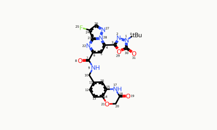 CC(C)(C)n1nc(-c2cc(C(=O)NCc3ccc4c(c3)NC(=O)CO4)nc3c(F)cnn23)oc1=O